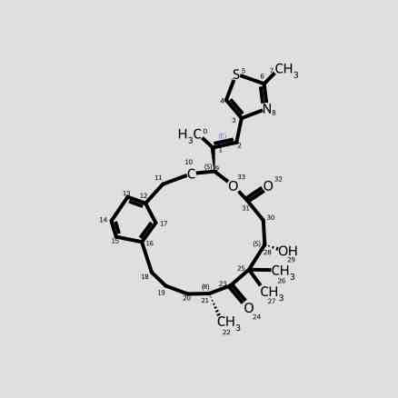 C/C(=C\c1csc(C)n1)[C@@H]1CCc2cccc(c2)CCC[C@@H](C)C(=O)C(C)(C)[C@@H](O)CC(=O)O1